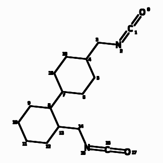 O=C=NCC1CCC(C2CCCCC2CN=C=O)CC1